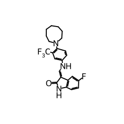 O=C1Nc2ccc(F)cc2C1=CNc1ccc(N2CCCCCCC2)c(C(F)(F)F)c1